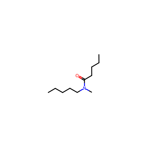 CCCCCN(C)C(=O)CCCC